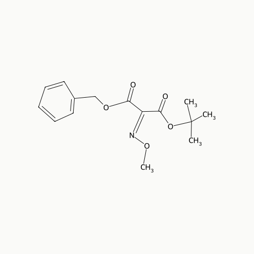 CON=C(C(=O)OCc1ccccc1)C(=O)OC(C)(C)C